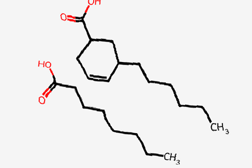 CCCCCCC1C=CCC(C(=O)O)C1.CCCCCCCC(=O)O